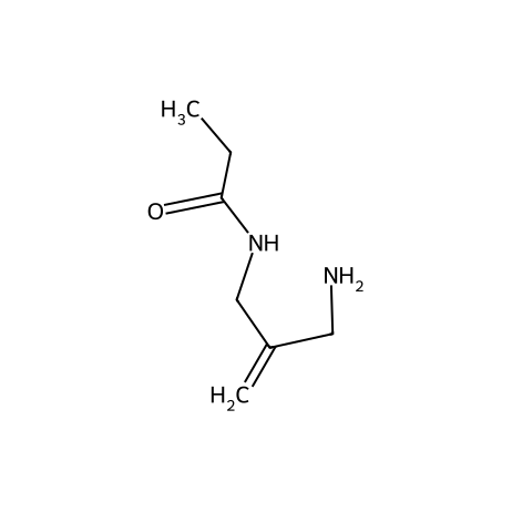 C=C(CN)CNC(=O)CC